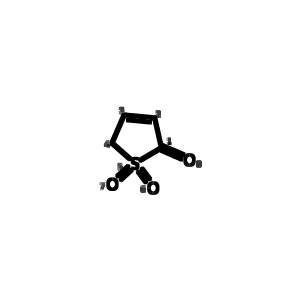 O=C1C=CCS1(=O)=O